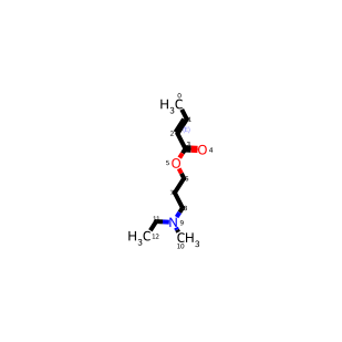 C/C=C/C(=O)OCCCN(C)CC